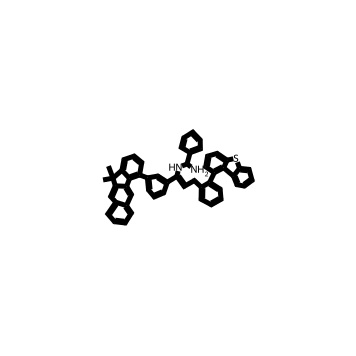 CC1(C)c2cc3ccccc3cc2-c2c(-c3cccc(/C(=C/Cc4ccccc4-c4cccc5sc6ccccc6c45)NC(N)c4ccccc4)c3)cccc21